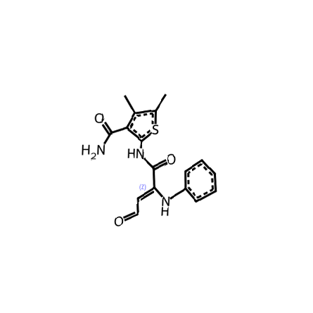 Cc1sc(NC(=O)/C(=C/C=O)Nc2ccccc2)c(C(N)=O)c1C